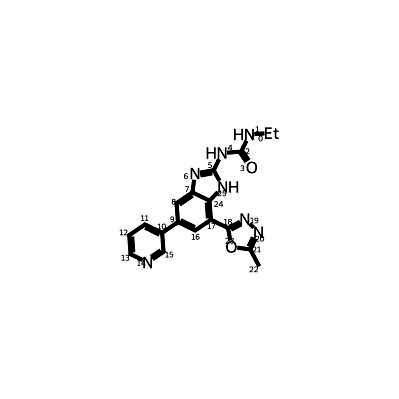 CCNC(=O)Nc1nc2cc(-c3cccnc3)cc(-c3nnc(C)o3)c2[nH]1